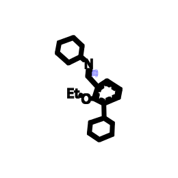 CCOc1c(/C=N/C2CCCCC2)cccc1C1CCCCC1